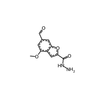 COc1cc(C=O)cc2oc(C(=O)NN)cc12